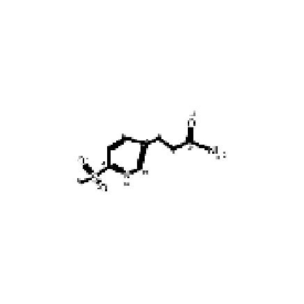 CS(=O)(=O)c1ccc([CH]CC(N)=O)cn1